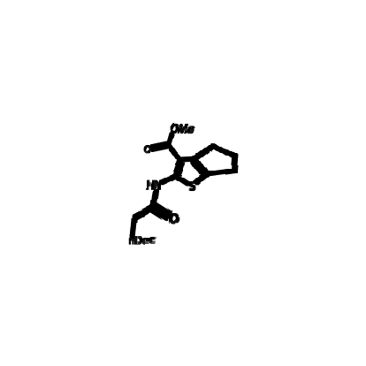 CCCCCCCCCCCC(=O)Nc1sc2c(c1C(=O)OC)CCC2